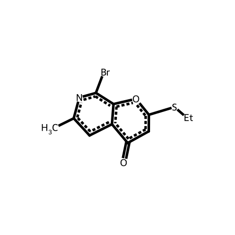 CCSc1cc(=O)c2cc(C)nc(Br)c2o1